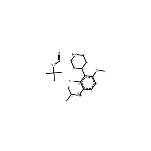 CC(C)(C)OC=O.COc1ccc(NC(C)C)c(F)c1C1CCNCC1